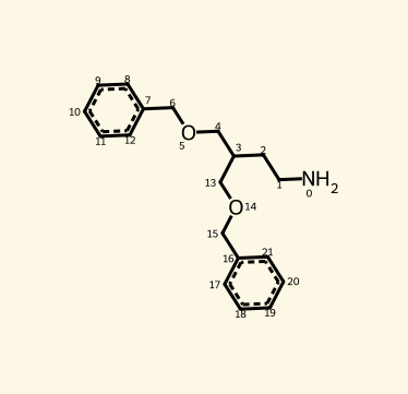 NCCC(COCc1ccccc1)COCc1ccccc1